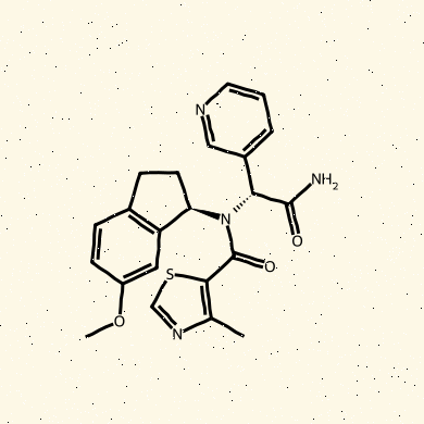 COc1ccc2c(c1)[C@H](N(C(=O)c1scnc1C)[C@@H](C(N)=O)c1cccnc1)CC2